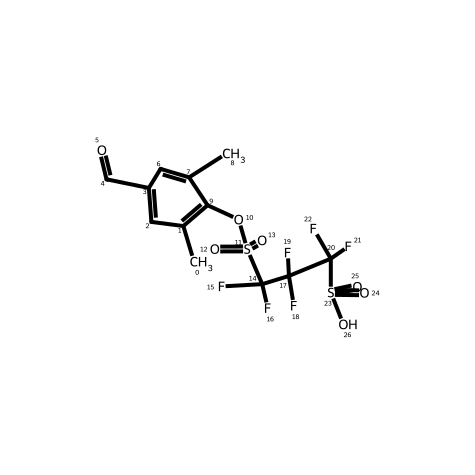 Cc1cc(C=O)cc(C)c1OS(=O)(=O)C(F)(F)C(F)(F)C(F)(F)S(=O)(=O)O